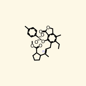 CCc1c(C)c2c(c(OS(=O)(=O)c3ccc(C)cc3)c1C/C=C(\C)C1CCCC1C(=O)OC)C(=O)OC2